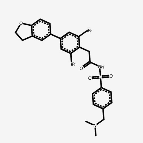 CC(C)c1cc(-c2ccc3c(c2)CCO3)cc(C(C)C)c1CC(=O)NS(=O)(=O)c1ccc(CN(C)C)cc1